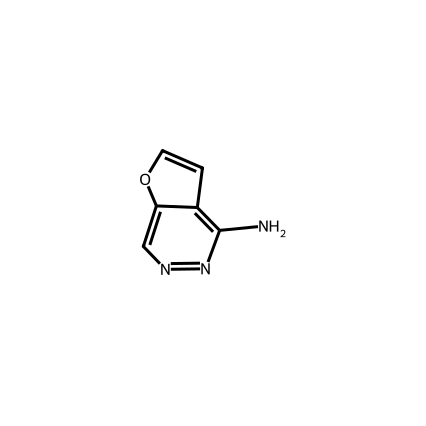 Nc1nncc2occc12